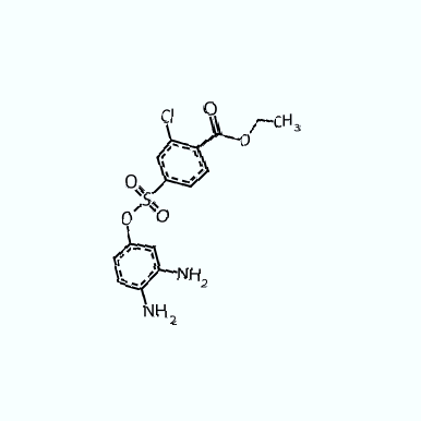 CCOC(=O)c1ccc(S(=O)(=O)Oc2ccc(N)c(N)c2)cc1Cl